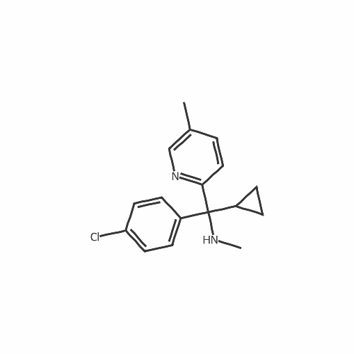 CNC(c1ccc(Cl)cc1)(c1ccc(C)cn1)C1CC1